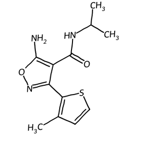 Cc1ccsc1-c1noc(N)c1C(=O)NC(C)C